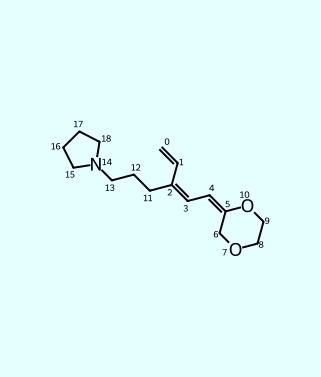 C=C/C(=C\C=C1/COCCO1)CCCN1CCCC1